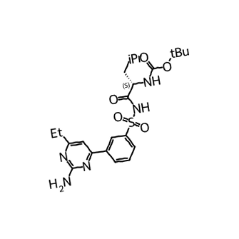 CCc1cc(-c2cccc(S(=O)(=O)NC(=O)[C@H](CC(C)C)NC(=O)OC(C)(C)C)c2)nc(N)n1